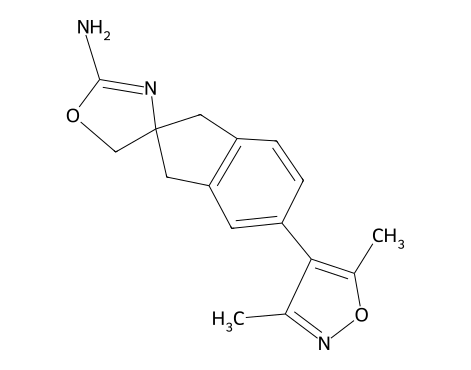 Cc1noc(C)c1-c1ccc2c(c1)CC1(COC(N)=N1)C2